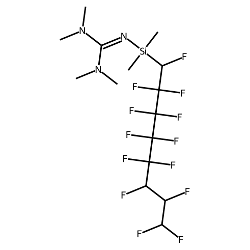 CN(C)C(=N[Si](C)(C)C(F)C(F)(F)C(F)(F)C(F)(F)C(F)(F)C(F)C(F)C(F)F)N(C)C